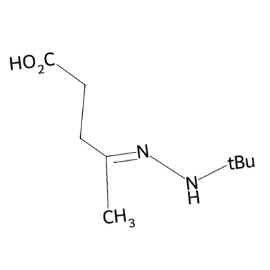 CC(CCC(=O)O)=NNC(C)(C)C